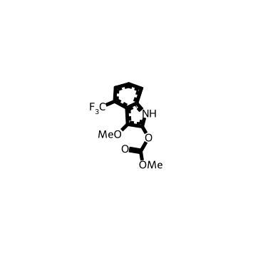 COC(=O)Oc1[nH]c2cccc(C(F)(F)F)c2c1OC